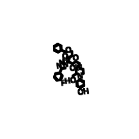 OCC1CN(CC2OC3COC(c4ccccc4)O[C@@H]3C(n3cc(-c4cccc(F)c4)nn3)C2O)CCN1c1ccc(O)cc1